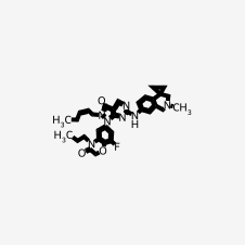 CC/C=C\Cn1c(=O)c2cnc(Nc3ccc4c(c3)CN(C)CC43CC3)nc2n1-c1cc(F)c2c(c1)N(CCC)C(=O)CO2